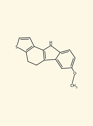 COc1ccc2[nH]c3c(c2c1)CCc1sccc1-3